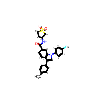 Cc1ccc(-c2cn(-c3ccc(F)cc3)c3cc(C(=O)NC4CCS(=O)(=O)C4)ccc23)cc1